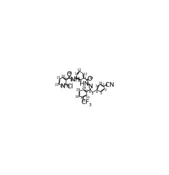 N#Cc1ccc(CC(=NNC(=O)c2cccc(NC(=O)c3cccnc3Cl)c2)c2cccc(C(F)(F)F)c2)cc1